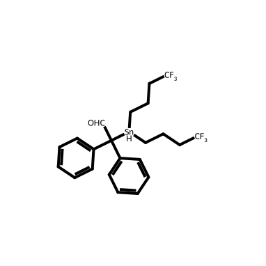 O=C[C](c1ccccc1)(c1ccccc1)[SnH]([CH2]CCC(F)(F)F)[CH2]CCC(F)(F)F